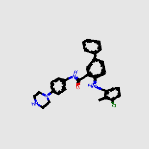 Cc1c(Cl)cccc1Nc1ccc(-c2ccccc2)cc1C(=O)Nc1ccc(N2CCNCC2)cc1